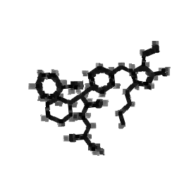 CCCCc1nc(Cl)c(C=O)n1Cc1ccc([C@@](Nc2ccccc2)(C(=O)NCC(N)=O)C2CCCCC2)cc1